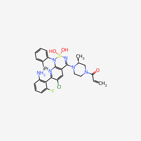 C=CC(=O)N1CCN(C2=NS(O)(O)N(c3ccccc3C(C)C)c3nc(-c4c(N)cccc4F)c(Cl)cc32)[C@@H](C)C1